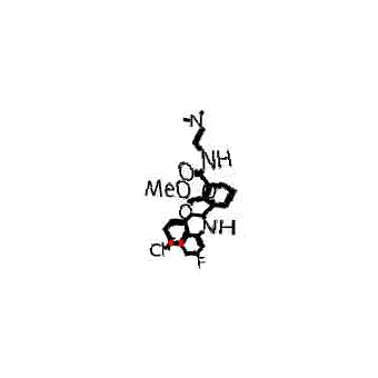 COC(=O)C1=C(C(=O)NCCN(C)C)C2C=CC1(C(Cc1ccc(Cl)cc1)Nc1cc(F)cc(F)c1)O2